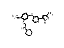 C=Nc1ccc(Oc2ccnc(-c3cc(C(F)(F)F)n[nH]3)c2)cc1SCNC1CCCCC1